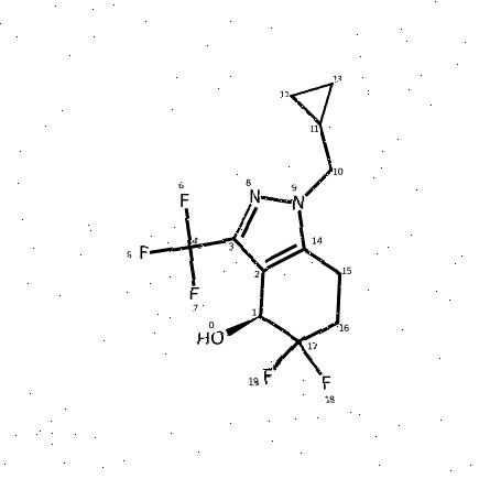 O[C@H]1c2c(C(F)(F)F)nn(CC3CC3)c2CCC1(F)F